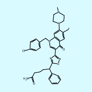 CN1CCN(c2cc3c(cc2F)c(=O)c(-c2noc(C(CCCC(N)=O)c4ccccc4)n2)cn3Cc2ccc(Cl)cc2)CC1